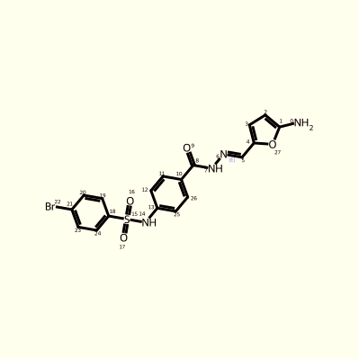 Nc1ccc(/C=N/NC(=O)c2ccc(NS(=O)(=O)c3ccc(Br)cc3)cc2)o1